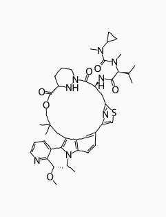 CCn1c(-c2cccnc2[C@H](C)OC)c2c3cc(ccc31)-c1csc(n1)C[C@H](NC(=O)[C@H](C(C)C)N(C)C(=O)N(C)C1CC1)C(=O)N1CCC[C@](C=O)(COCC(C)(C)C2)N1